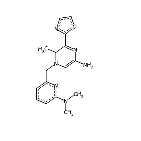 CC1C(c2ncco2)=NC(N)=CN1Cc1cccc(N(C)C)n1